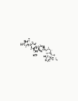 CC(C)(C)NC1CCN(c2ncc(-c3ccc(-c4c[nH]nc4F)cc3O)nn2)C1.Cl